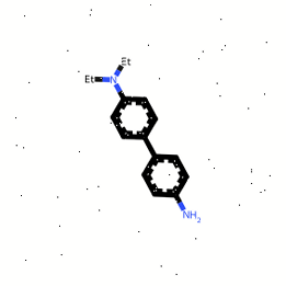 CCN(CC)c1ccc(-c2ccc(N)cc2)cc1